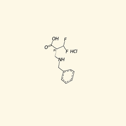 Cl.O=C(O)[C@@H](CNCc1ccccc1)C(F)F